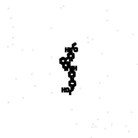 C=CC(=O)Nc1ccnc(-c2cccc3cnc(Nc4ccc(N5CCN(CC(C)O)CC5)cc4)nc23)c1